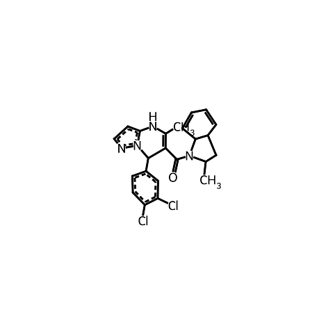 CC1=C(C(=O)N2C(C)CC3C=CC=CC32)C(c2ccc(Cl)c(Cl)c2)n2nccc2N1